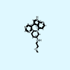 COCCN[C@H]1CCCN(c2ccnc3[nH]cc(-c4cncnc4)c23)C1